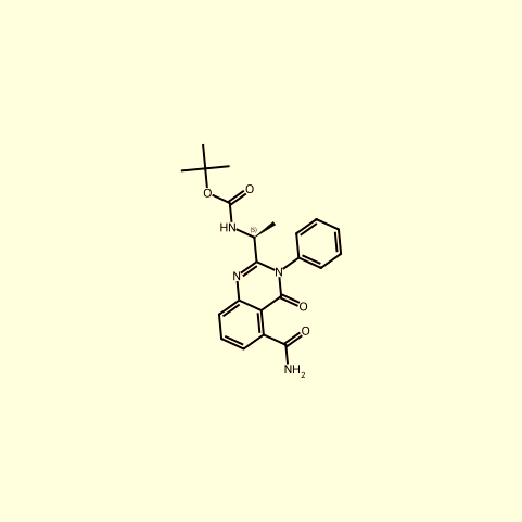 C[C@H](NC(=O)OC(C)(C)C)c1nc2cccc(C(N)=O)c2c(=O)n1-c1ccccc1